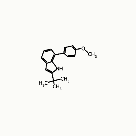 COc1ccc(-c2cccc3cc(C(C)(C)C)[nH]c23)cc1